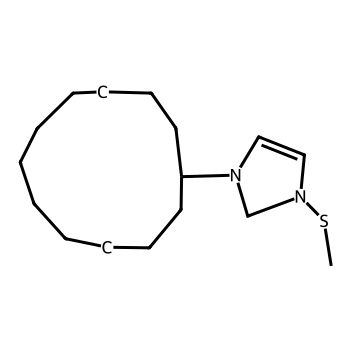 CSN1C=CN(C2CCCCCCCCCCC2)C1